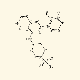 CCS(=O)(=O)N1CCC(Nc2cc(-c3ccnc(Cl)c3F)cc3ccncc23)CC1